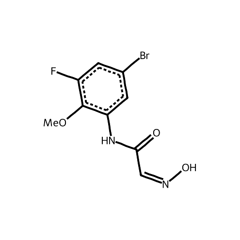 COc1c(F)cc(Br)cc1NC(=O)/C=N\O